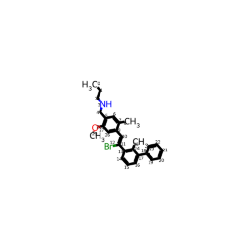 CCCNCc1cc(C)c(/C=C(\Br)c2cccc(-c3ccccc3)c2C)cc1OC